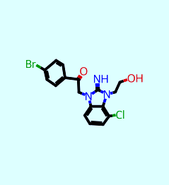 N=c1n(CC(=O)c2ccc(Br)cc2)c2cccc(Cl)c2n1CCO